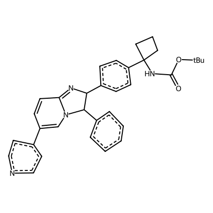 CC(C)(C)OC(=O)NC1(c2ccc(C3N=C4C=CC(c5ccncc5)=CN4C3c3ccccc3)cc2)CCC1